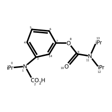 CC(C)N(C(=O)O)c1cccc(OC(=O)N(C(C)C)C(C)C)c1